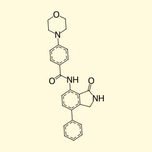 O=C(Nc1ccc(-c2ccccc2)c2c1C(=O)NC2)c1ccc(N2CCOCC2)cc1